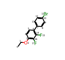 CCOc1ccc(-c2ccc(Br)cc2)c(F)c1F